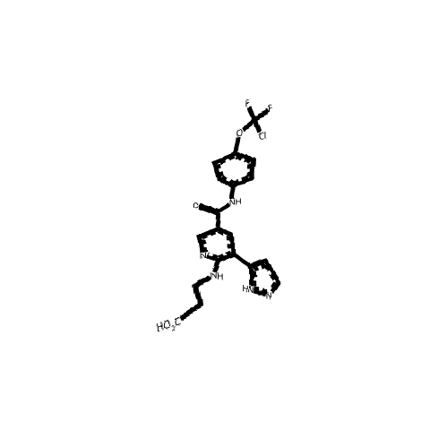 O=C(O)CCNc1ncc(C(=O)Nc2ccc(OC(F)(F)Cl)cc2)cc1-c1ccn[nH]1